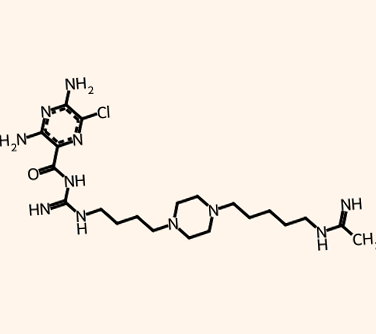 CC(=N)NCCCCCN1CCN(CCCCNC(=N)NC(=O)c2nc(Cl)c(N)nc2N)CC1